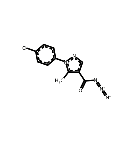 Cc1c(C(=O)N=[N+]=[N-])cnn1-c1ccc(Cl)cc1